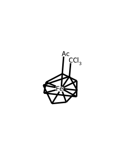 CC(=O)[C]12[CH]3[CH]4[CH]5[CH]1[Fe]45321678[CH]2[CH]1[CH]6[C]7(C(Cl)(Cl)Cl)[CH]28